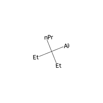 CCC[C]([Al])(CC)CC